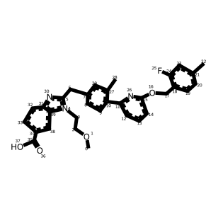 COCCn1c(Cc2ccc(-c3cccc(OCc4ccc(C)cc4F)n3)c(C)c2)nc2ccc(C(=O)O)cc21